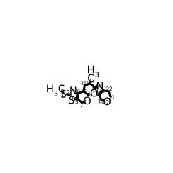 CSc1nc2c(s1)COCC2CC(C)c1nc2c(o1)COCC2